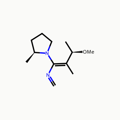 C=N/C(=C(\C)[C@@H](C)OC)N1CCC[C@@H]1C